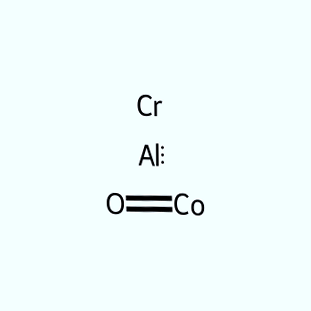 [Al].[Cr].[O]=[Co]